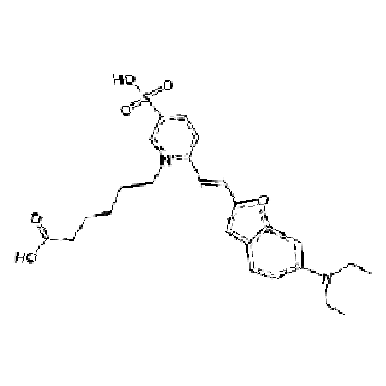 CCN(CC)c1ccc2cc(/C=C/c3ccc(S(=O)(=O)O)c[n+]3CCCCCC(=O)O)oc2c1